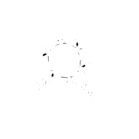 O=P1([O-])OP(=O)([O-])OP(=O)([O-])OP(=O)([O-])OP(=O)([O-])OP(=O)([O-])O1.[Mg+2].[Na+].[Na+].[Na+].[Na+]